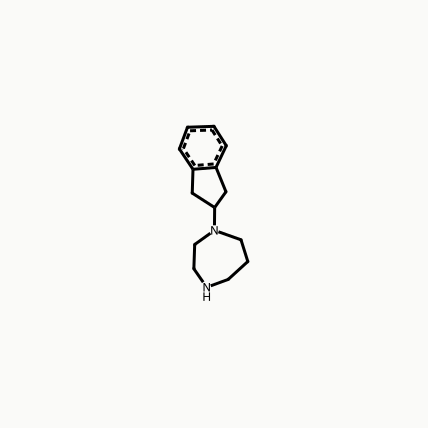 c1ccc2c(c1)CC(N1CCCNCC1)C2